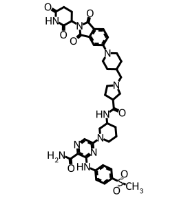 CS(=O)(=O)c1ccc(Nc2nc(N3CCCC(NC(=O)C4CCN(CC5CCN(c6ccc7c(c6)C(=O)N(C6CCC(=O)NC6=O)C7=O)CC5)C4)C3)cnc2C(N)=O)cc1